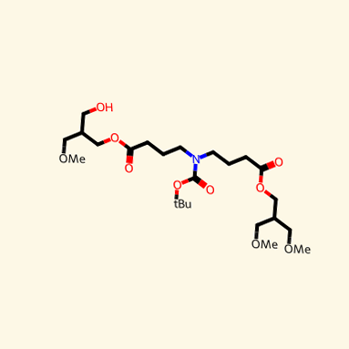 COCC(CO)COC(=O)CCCN(CCCC(=O)OCC(COC)COC)C(=O)OC(C)(C)C